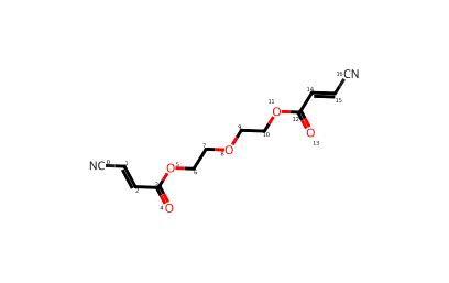 N#CC=CC(=O)OCCOCCOC(=O)C=CC#N